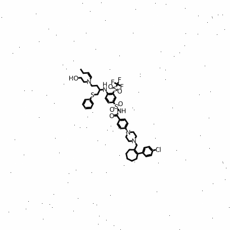 CC/C=C\N(CCO)CCC(CSc1ccccc1)Nc1ccc(S(=O)(=O)NC(=O)c2ccc(N3CCN(CC4=C(c5ccc(Cl)cc5)CCCCC4)CC3)cc2)cc1S(=O)(=O)C(F)(F)F